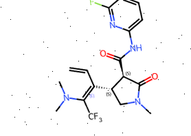 C=C/C(=C(\N(C)C)C(F)(F)F)[C@H]1CN(C)C(=O)[C@@H]1C(=O)Nc1cccc(F)n1